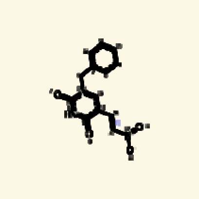 O=c1[nH]c(=O)n(Cc2ccccc2)cc1/C=C/[N+](=O)[O-]